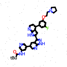 CC(C)(C)C(=O)Nc1cncc(-c2cnc3[nH]nc(-c4cc5c(-c6cc(F)cc(OCCN7CCCC7)c6)ccnc5[nH]4)c3c2)c1